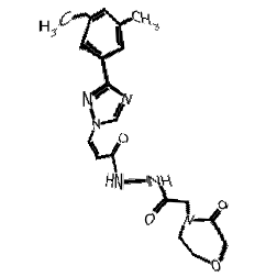 Cc1cc(C)cc(-c2ncn(/C=C\C(=O)NNC(=O)CN3CCOCC3=O)n2)c1